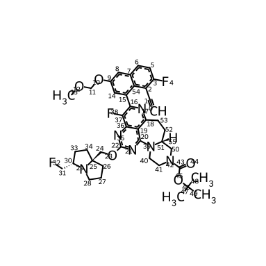 C#Cc1c(F)ccc2cc(OCOC)cc(-c3nc4c5c(nc(OC[C@@]67CCCN6[C@H](CF)CC7)nc5c3F)N3CCN(C(=O)OC(C)(C)C)C[C@H]3CC4)c12